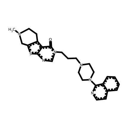 CN1CCc2c(sc3ncn(CCCN4CCN(c5nccc6ccccc56)CC4)c(=O)c23)C1